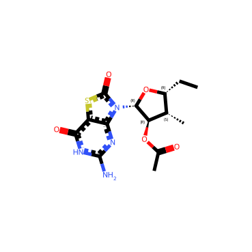 CC[C@H]1O[C@@H](n2c(=O)sc3c(=O)[nH]c(N)nc32)[C@H](OC(C)=O)[C@H]1C